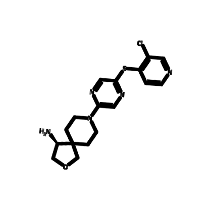 N[C@@H]1COCC12CCN(c1cnc(Sc3ccncc3Cl)cn1)CC2